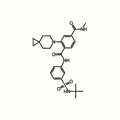 CNC(=O)c1ccc(C(=O)Nc2cccc(S(=O)(=O)NC(C)(C)C)c2)c(N2CCC3(CC2)CC3)c1